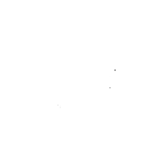 CN1CCN(c2ccc(-c3cnc4[nH]cc(-c5ccc(N(C)C)cc5)c4c3)cc2)CC1